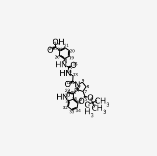 CC(C)(C)OC(=O)C1CCN(C(=O)CNC(=O)Nc2cccc(C(=O)O)c2)[C@@H]1c1c[nH]c2ccccc12